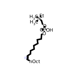 CCCCCCCC/C=C\CCCCCCCCOP(=O)(O)OCC[N+](C)(C)CC